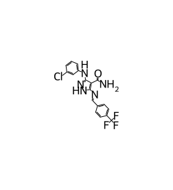 NC(=O)c1c(Nc2cccc(Cl)c2)n[nH]c1/N=C/c1ccc(C(F)(F)F)cc1